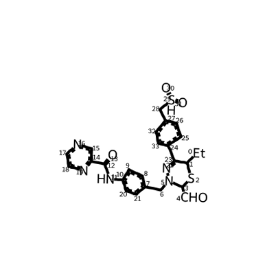 CCC1SC(C=O)N(Cc2ccc(NC(=O)c3cnccn3)cc2)N=C1c1ccc(C[SH](=O)=O)cc1